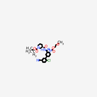 COCCOC(=O)n1nc(NC(=O)[C@@H]2CCCN(C(=O)OC(C)(C)C)C2)c2cc(-c3cc(C#N)ccc3Cl)ccc21